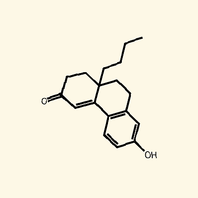 CCCCC12CCC(=O)C=C1c1ccc(O)cc1CC2